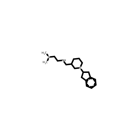 CN(C)CCNCC1CCCN(C2Cc3ccccc3C2)C1